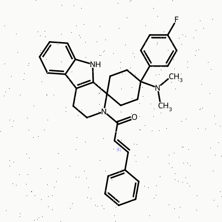 CN(C)C1(c2ccc(F)cc2)CCC2(CC1)c1[nH]c3ccccc3c1CCN2C(=O)/C=C/c1ccccc1